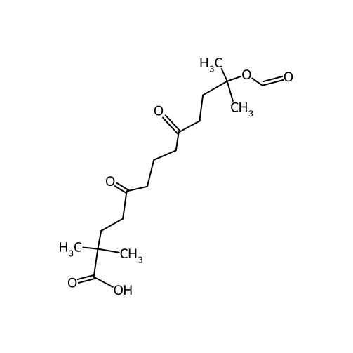 CC(C)(CCC(=O)CCCC(=O)CCC(C)(C)C(=O)O)OC=O